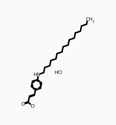 CCCCCCCCCCCCCCCCNc1ccc(/C=C/C(=O)Cl)cc1.Cl